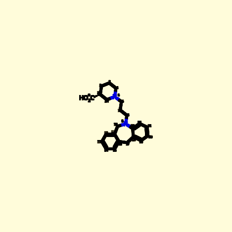 O=C(O)[C@@H]1CCCN(CCCN2Cc3ccccc3Cc3ccccc32)C1